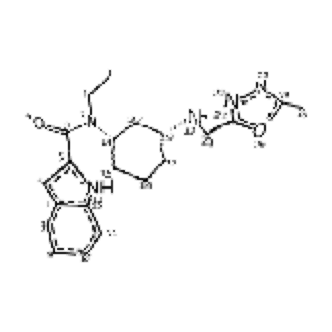 CCN(C(=O)c1cc2ccccc2[nH]1)[C@H]1CCC[C@@H](NCc2nnc(C)o2)C1